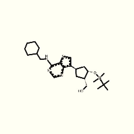 CC(C)(C)[Si](C)(C)O[C@H]1C[C@H](c2csc3c(NCC4CCCCC4)ncnc23)C[C@H]1CO